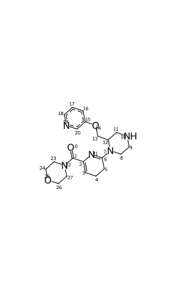 O=C(C1=CCCC(N2CCNCC2COc2cccnc2)=N1)N1CCOCC1